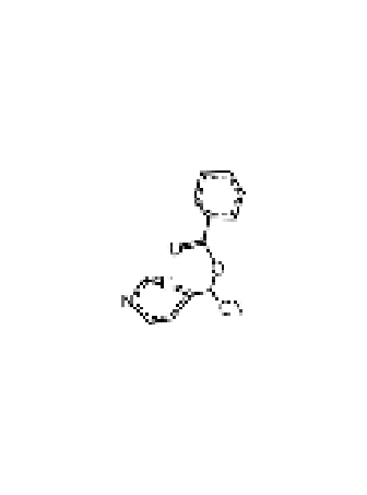 N#CC(OC(=O)c1ccccc1)c1ccncc1